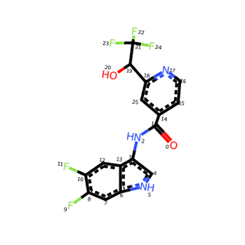 O=C(Nc1c[nH]c2cc(F)c(F)cc12)c1ccnc(C(O)C(F)(F)F)c1